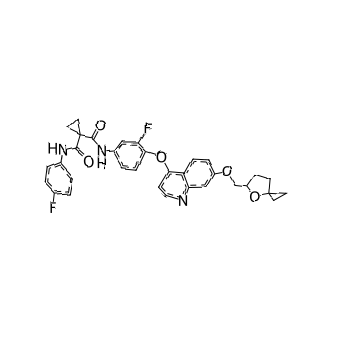 O=C(Nc1ccc(F)cc1)C1(C(=O)Nc2ccc(Oc3ccnc4cc(OCC5CCC6(CC6)O5)ccc34)c(F)c2)CC1